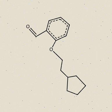 O=[C]c1ccccc1OCCC1CCCC1